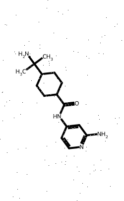 CC(C)(N)C1CCC(C(=O)Nc2ccnc(N)c2)CC1